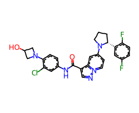 O=C(Nc1ccc(N2CC(O)C2)c(Cl)c1)c1cnn2ccc(N3CCC[C@@H]3c3cc(F)ccc3F)cc12